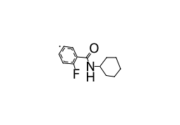 O=C(NC1CCCCC1)c1c[c]ccc1F